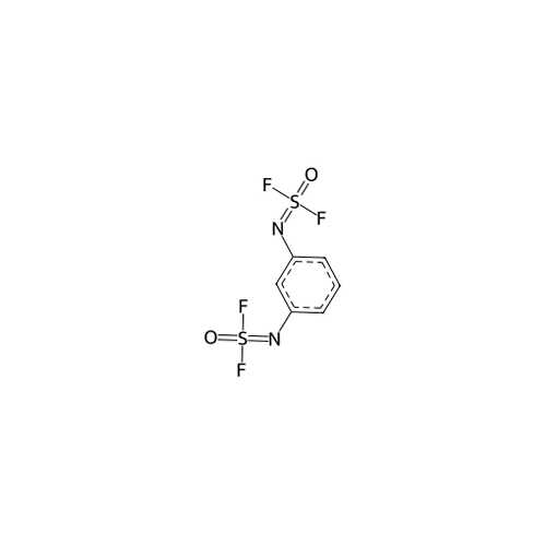 O=S(F)(F)=Nc1cccc(N=S(=O)(F)F)c1